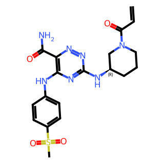 C=CC(=O)N1CCC[C@@H](Nc2nnc(C(N)=O)c(Nc3ccc(S(C)(=O)=O)cc3)n2)C1